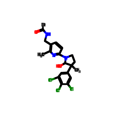 CCC(=O)NCc1ccc(N2CCC(c3cc(Cl)c(Cl)c(Cl)c3)(C(F)(F)F)C2O)nc1C